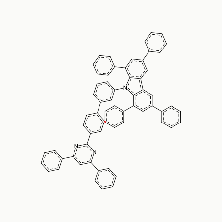 c1ccc(-c2cc(-c3ccccc3)c3c(c2)c2cc(-c4ccccc4)cc(-c4ccccc4)c2n3-c2cccc(-c3ccc(-c4nc(-c5ccccc5)cc(-c5ccccc5)n4)cc3)c2)cc1